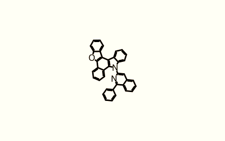 c1ccc(-c2nc(-n3c4ccccc4c4c5c6ccccc6oc5c5ccccc5c43)cc3ccccc23)cc1